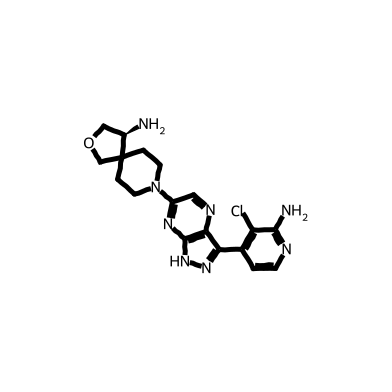 Nc1nccc(-c2n[nH]c3nc(N4CCC5(CC4)COC[C@H]5N)cnc23)c1Cl